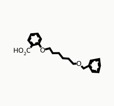 O=C(O)c1ccccc1OCCCCCCOCc1ccccc1